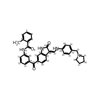 Cc1ccccc1C(=O)Nc1cccc(C(=O)c2ccc3c(c2)NC(=O)C3=CNc2ccc(CN3CCCC3)cc2)c1